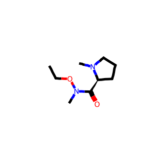 CCON(C)C(=O)[C@@H]1CCCN1C